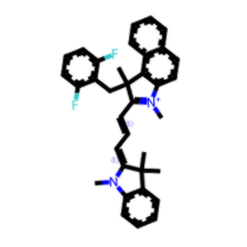 CN1/C(=C/C=C/C2=[N+](C)c3ccc4ccccc4c3C2(C)Cc2c(F)cccc2F)C(C)(C)c2ccccc21